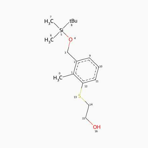 Cc1c(CO[Si](C)(C)C(C)(C)C)cccc1SCCO